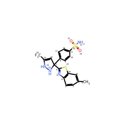 Cc1ccc2nc(C3(c4ccc(S(N)(=O)=O)cc4)C=C(C(F)(F)F)NN3)sc2c1